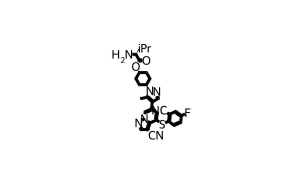 Cc1c(-c2cc(Sc3ccc(F)cc3C#N)c3c(C#N)cnn3c2)cnn1[C@H]1CC[C@H](OC(=O)[C@H](N)C(C)C)CC1